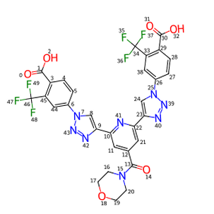 O=C(O)c1ccc(-n2cc(-c3cc(C(=O)N4CCOCC4)cc(-c4cn(-c5ccc(C(=O)O)c(C(F)(F)F)c5)nn4)n3)nn2)cc1C(F)(F)F